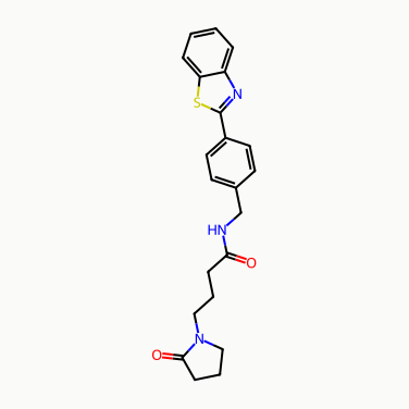 O=C(CCCN1CCCC1=O)NCc1ccc(-c2nc3ccccc3s2)cc1